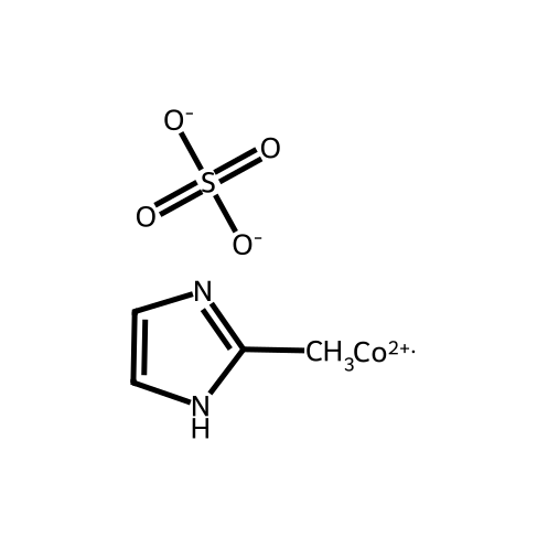 Cc1ncc[nH]1.O=S(=O)([O-])[O-].[Co+2]